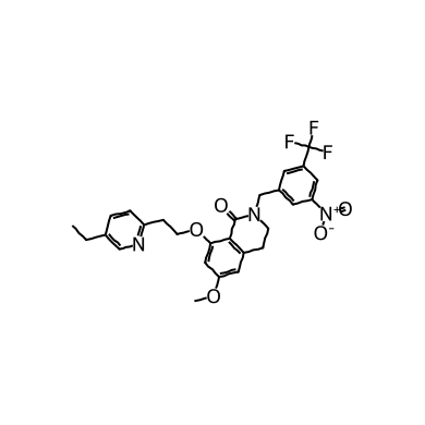 CCc1ccc(CCOc2cc(OC)cc3c2C(=O)N(Cc2cc([N+](=O)[O-])cc(C(F)(F)F)c2)CC3)nc1